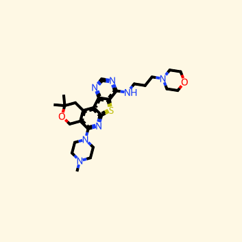 CN1CCN(c2nc3sc4c(NCCCN5CCOCC5)ncnc4c3c3c2COC(C)(C)C3)CC1